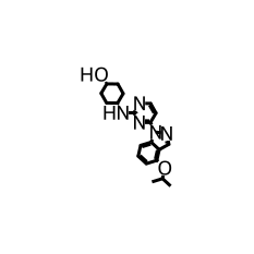 CC(C)Oc1cccc2c1cnn2-c1ccnc(N[C@H]2CC[C@H](O)CC2)n1